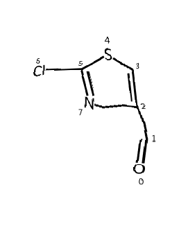 O=[C]c1csc(Cl)n1